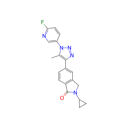 Cc1c(-c2ccc3c(c2)CN(C2CC2)C3=O)nnn1-c1ccc(F)nc1